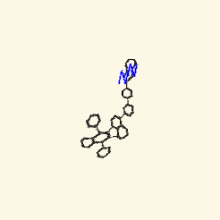 c1ccc(-c2c3c(c(-c4ccccc4)c4ccccc24)-c2ccc(-c4cccc(-c5ccc(-c6cn7ccccc7n6)cc5)c4)c4cccc-3c24)cc1